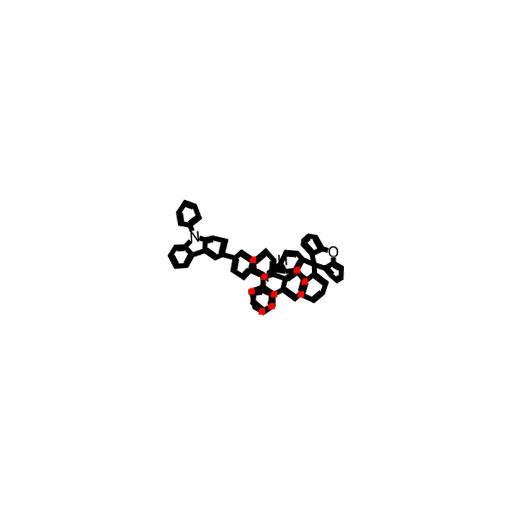 C1=CC2=C(c3ccccc3C23c2ccccc2Oc2ccccc23)[C@@H]2C1=C2N(c1ccc(-c2ccc3c(c2)c2ccccc2n3-c2ccccc2)cc1)c1ccccc1-c1ccccc1-c1ccccc1-c1ccccc1